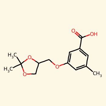 Cc1cc(OCC2COC(C)(C)O2)cc(C(=O)O)c1